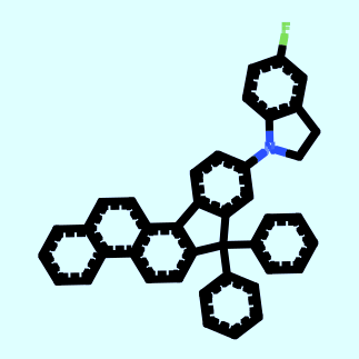 Fc1ccc2c(c1)CCN2c1ccc2c(c1)C(c1ccccc1)(c1ccccc1)c1ccc3c(ccc4ccccc43)c1-2